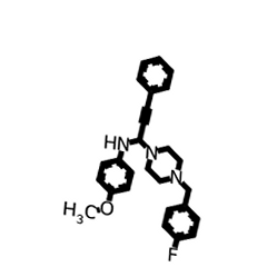 COc1ccc(NC(C#Cc2ccccc2)N2CCN(Cc3ccc(F)cc3)CC2)cc1